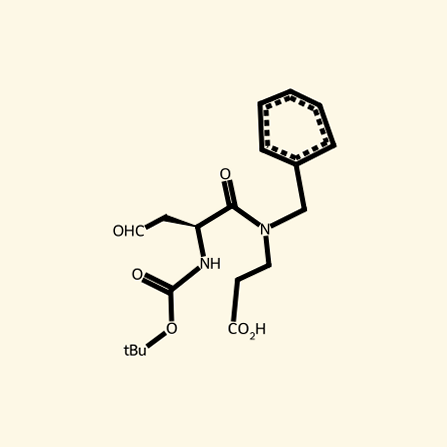 CC(C)(C)OC(=O)N[C@@H](CC=O)C(=O)N(CCC(=O)O)Cc1ccccc1